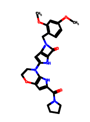 COc1ccc(CN2C(=O)c3[nH]c(N4CCOc5cc(C(=O)N6CCCC6)[nH]c54)cc32)c(OC)c1